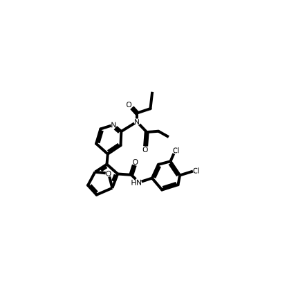 CCC(=O)N(C(=O)CC)c1cc(-c2c(C(=O)Nc3ccc(Cl)c(Cl)c3)c3ccc2o3)ccn1